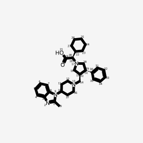 Cc1nc2ccccc2n1C1CCN(C[C@H]2CN([C@@H](C(=O)O)C3CCCCC3)C[C@@H]2c2ccccc2)CC1